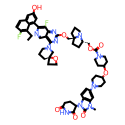 CCc1c(F)ccc2cc(O)cc(-c3ncc4c(N5CCC[C@@]6(CCO6)C5)nc(OC[C@@]56CCCN5[C@H](COC(=O)N5CCC(OC7CCN(c8ccc9c(c8)n(C)c(=O)n9C8CCC(=O)NC8=O)CC7)CC5)CC6)nc4c3F)c12